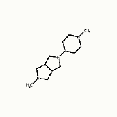 CN1CCC(N2CC3CN(C)CC3C2)CC1